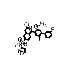 COc1cc(-c2cccc(F)c2)c(F)cc1-c1nc(Cl)cc2cc(S(=O)(=O)Nc3ccon3)ccc12